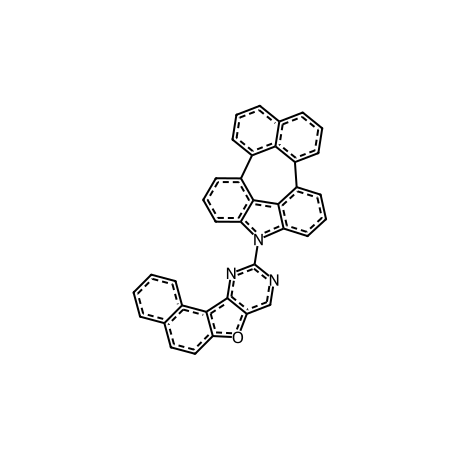 c1cc2c3c(cccc3c1)-c1cccc3c1c1c-2cccc1n3-c1ncc2oc3ccc4ccccc4c3c2n1